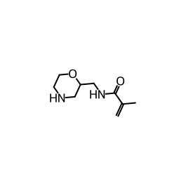 C=C(C)C(=O)NCC1CNCCO1